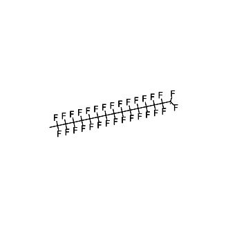 CC(F)(F)C(F)(F)C(F)(F)C(F)(F)C(F)(F)C(F)(F)C(F)(F)C(F)(F)C(F)(F)C(F)(F)C(F)(F)C(F)(F)C(F)(F)C(F)(F)[C](F)F